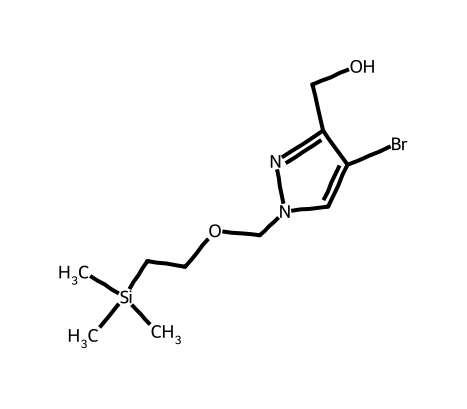 C[Si](C)(C)CCOCn1cc(Br)c(CO)n1